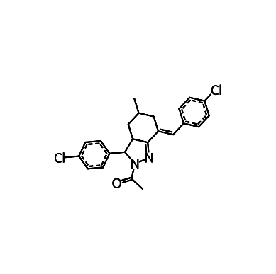 CC(=O)N1N=C2/C(=C/c3ccc(Cl)cc3)CC(C)CC2C1c1ccc(Cl)cc1